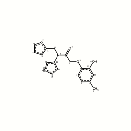 Cc1ccc(OCC(=O)N(Cc2cccs2)c2cn[nH]c2)c(O)c1